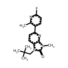 Cc1nc(F)ccc1-c1ccc2c(n1)n(C)c(=O)n2CC(C)(C)C